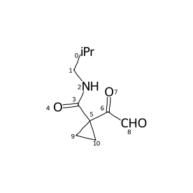 CC(C)CNC(=O)C1(C(=O)C=O)CC1